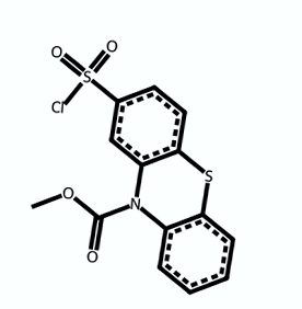 COC(=O)N1c2ccccc2Sc2ccc(S(=O)(=O)Cl)cc21